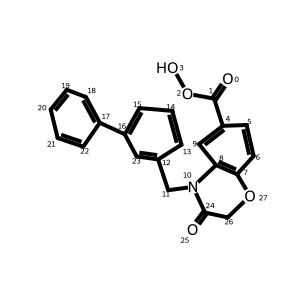 O=C(OO)c1ccc2c(c1)N(Cc1cccc(-c3ccccc3)c1)C(=O)CO2